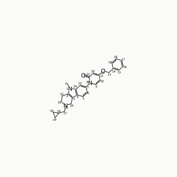 Cn1c2c(c3ccc(-n4ccc(OCc5ccccc5)cc4=O)cc31)CN(CC1CC1)CC2